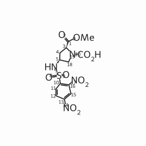 COC(=O)[C@@H]1C[C@H](NS(=O)(=O)c2ccc([N+](=O)[O-])cc2[N+](=O)[O-])CN1C(=O)O